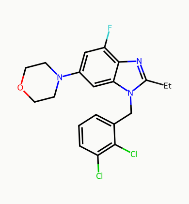 CCc1nc2c(F)cc(N3CCOCC3)cc2n1Cc1cccc(Cl)c1Cl